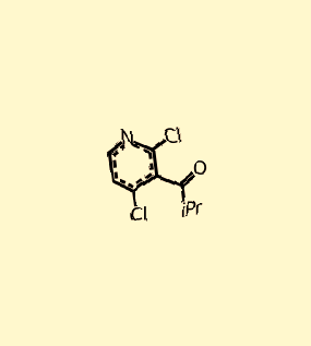 CC(C)C(=O)c1c(Cl)ccnc1Cl